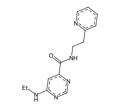 CCNc1cc(C(=O)NCCc2ccccn2)ncn1